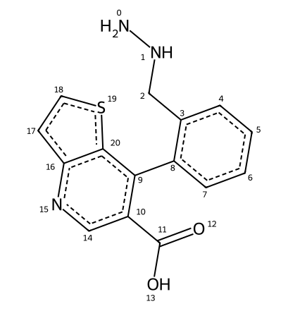 NNCc1ccccc1-c1c(C(=O)O)cnc2ccsc12